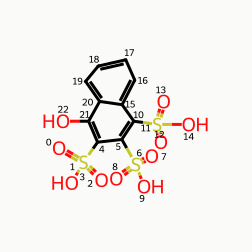 O=S(=O)(O)c1c(S(=O)(=O)O)c(S(=O)(=O)O)c2ccccc2c1O